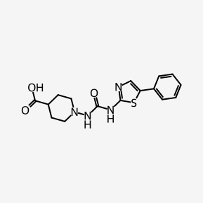 O=C(Nc1ncc(-c2ccccc2)s1)NN1CCC(C(=O)O)CC1